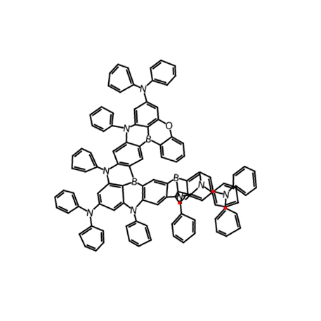 c1ccc(N(c2ccccc2)c2cc3c4c(c2)N(c2ccccc2)c2cc5c(cc2B4c2ccccc2O3)B2c3cc4c(cc3N(c3ccccc3)c3cc(N(c6ccccc6)c6ccccc6)cc(c32)N5c2ccccc2)N(c2ccccc2)c2cc(N(c3ccccc3)c3ccccc3)cc3c2B4c2ccccc2N3c2ccccc2)cc1